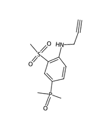 C#CCNc1ccc(P(C)(C)=O)cc1S(C)(=O)=O